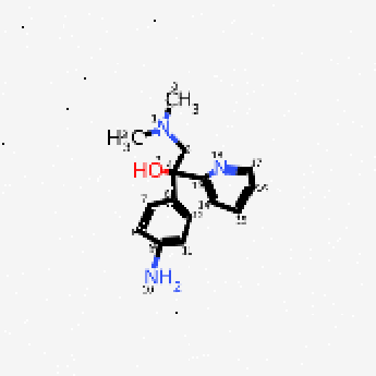 CN(C)CC(O)(c1ccc(N)cc1)c1ccccn1